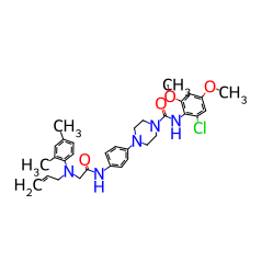 C=CCN(CC(=O)Nc1ccc(N2CCN(C(=O)Nc3c(Cl)cc(OC)cc3OC)CC2)cc1)c1ccc(C)cc1C